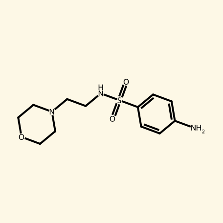 Nc1ccc(S(=O)(=O)NCCN2CCOCC2)cc1